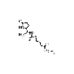 COC(=O)CCCSC(=S)NC(C)C1CCC(=O)N1